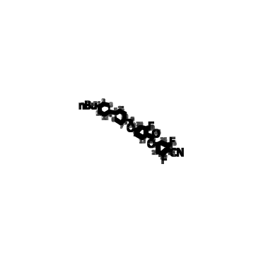 CCCC[C@H]1CC[C@H]([C@H]2CC[C@H](COc3ccc(C(=O)Oc4cc(F)c(C#N)c(F)c4)c(F)c3)CC2)CC1